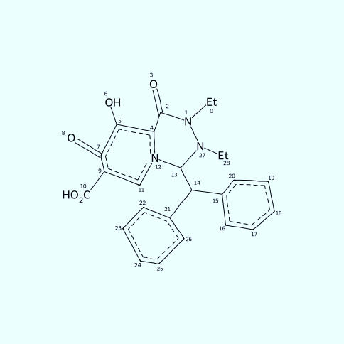 CCN1C(=O)c2c(O)c(=O)c(C(=O)O)cn2C(C(c2ccccc2)c2ccccc2)N1CC